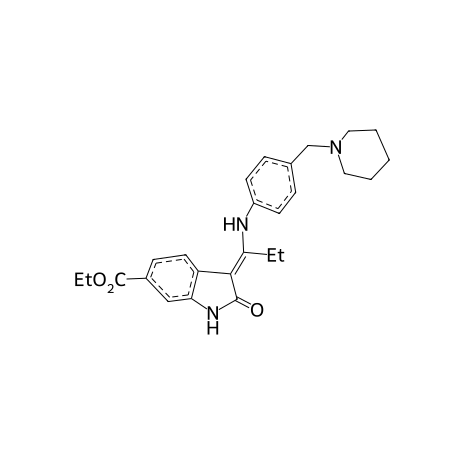 CCOC(=O)c1ccc2c(c1)NC(=O)C2=C(CC)Nc1ccc(CN2CCCCC2)cc1